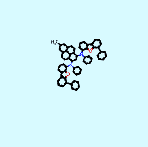 Cc1cc2ccc3c(N(c4ccccc4)c4cccc5c4oc4c(-c6ccccc6)cccc45)cc(N(c4ccccc4)c4cccc5c4oc4c(-c6ccccc6)cccc45)c4ccc(c1)c2c34